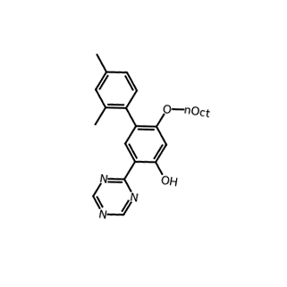 CCCCCCCCOc1cc(O)c(-c2ncncn2)cc1-c1ccc(C)cc1C